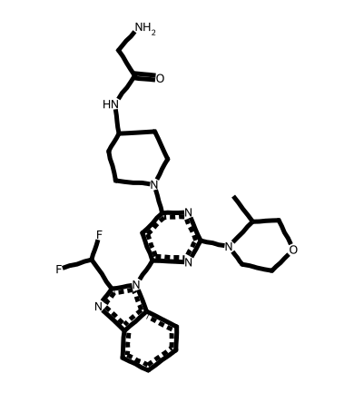 CC1COCCN1c1nc(N2CCC(NC(=O)CN)CC2)cc(-n2c(C(F)F)nc3ccccc32)n1